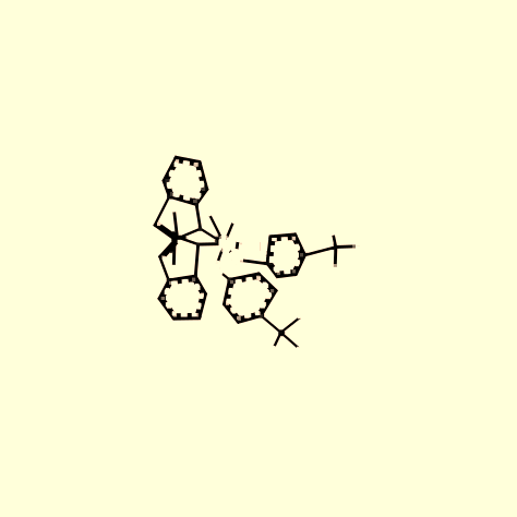 CC1=Cc2ccccc2[CH]1[Zr]([CH3])([CH3])(=[SiH2])([O]c1ccc(C(F)(F)F)cc1)([O]c1ccc(C(F)(F)F)cc1)[CH]1C(C)=Cc2ccccc21